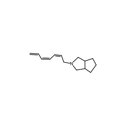 C=C/C=C\C=C/CN1CC2CCCC2C1